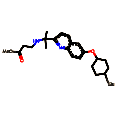 COC(=O)CCNC(C)(C)c1ccc2cc(OC3CCC(C(C)(C)C)CC3)ccc2n1